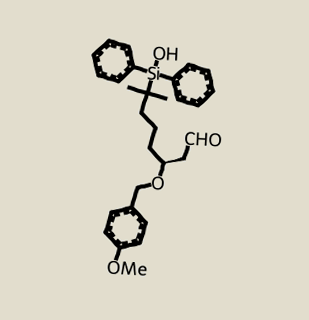 COc1ccc(CO[C@H](CC=O)CCCC(C)(C)[Si](O)(c2ccccc2)c2ccccc2)cc1